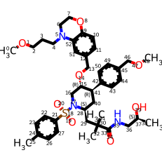 COCCCN1CCOc2ccc(CO[C@H]3CN(S(=O)(=O)c4ccc(C)cc4)[C@H](CC(C)(C)C(=O)NC[C@H](C)O)C[C@@H]3c3ccc(COC)cc3)cc21